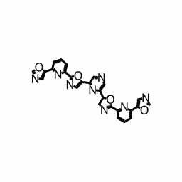 c1cc(C2=NCC(c3cncc(-c4cnc(-c5cccc(-c6cnco6)n5)o4)n3)O2)nc(-c2cnco2)c1